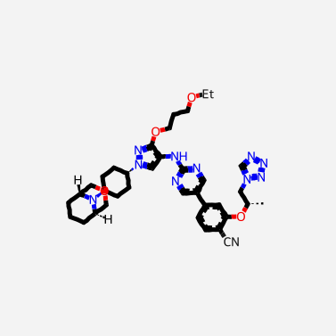 CCOCCCOc1nn([C@H]2CC[C@H](N3[C@@H]4CCC[C@@H]3COC4)CC2)cc1Nc1ncc(-c2ccc(C#N)c(O[C@@H](C)Cn3cnnn3)c2)cn1